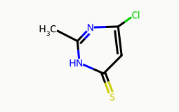 Cc1nc(Cl)cc(=S)[nH]1